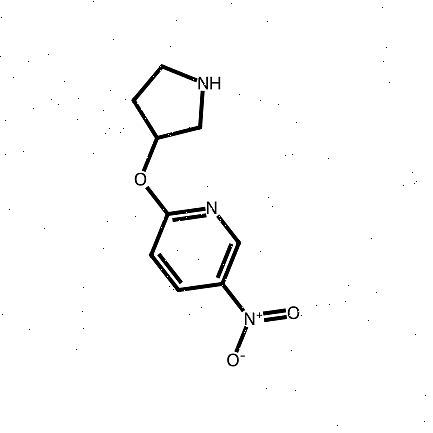 O=[N+]([O-])c1ccc(OC2CCNC2)nc1